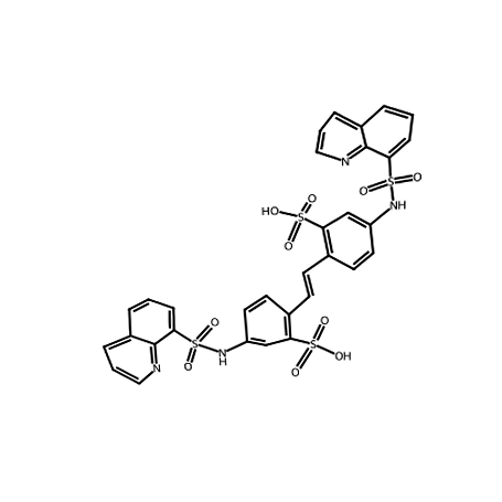 O=S(=O)(O)c1cc(NS(=O)(=O)c2cccc3cccnc23)ccc1/C=C/c1ccc(NS(=O)(=O)c2cccc3cccnc23)cc1S(=O)(=O)O